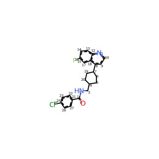 O=C(NCC1CCC(c2ccnc3ccc(F)cc23)CC1)c1ccc(Cl)cc1